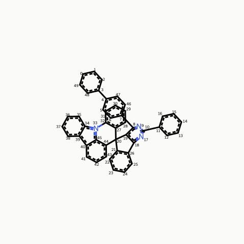 c1ccc(-c2ccc(-c3nc(-c4ccccc4)nc4c3C3(c5ccccc5-4)c4ccccc4-n4c5ccccc5c5cccc3c54)cc2)cc1